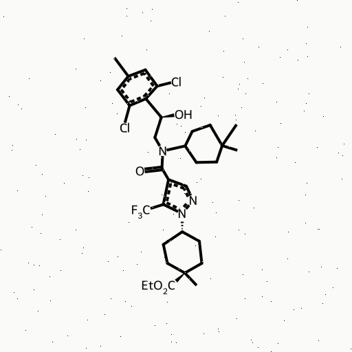 CCOC(=O)[C@]1(C)CC[C@@H](n2ncc(C(=O)N(C[C@H](O)c3c(Cl)cc(C)cc3Cl)C3CCC(C)(C)CC3)c2C(F)(F)F)CC1